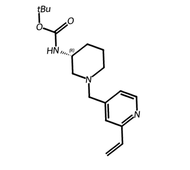 C=Cc1cc(CN2CCC[C@@H](NC(=O)OC(C)(C)C)C2)ccn1